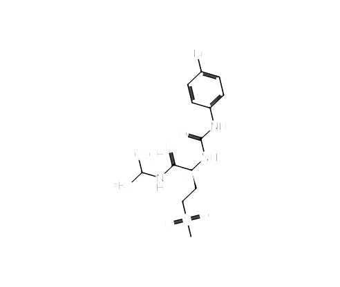 CC(C)(C)C(NC(=O)[C@H](CCS(C)(=O)=O)NC(=O)Nc1ccc(Br)cc1)C(=O)O